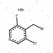 Br.CCc1cncc(F)c1CBr